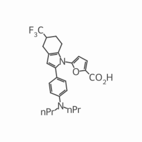 CCCN(CCC)c1ccc(-c2cc3c(n2-c2ccc(C(=O)O)o2)CCC(C(F)(F)F)C3)cc1